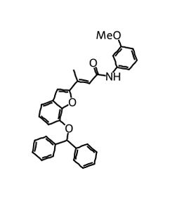 COc1cccc(NC(=O)/C=C(\C)c2cc3cccc(OC(c4ccccc4)c4ccccc4)c3o2)c1